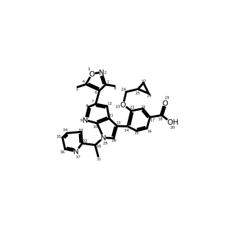 Cc1noc(C)c1-c1cnc2c(c1)c(-c1ccc(C(=O)O)cc1OCC1CC1)cn2C(C)c1ccccn1